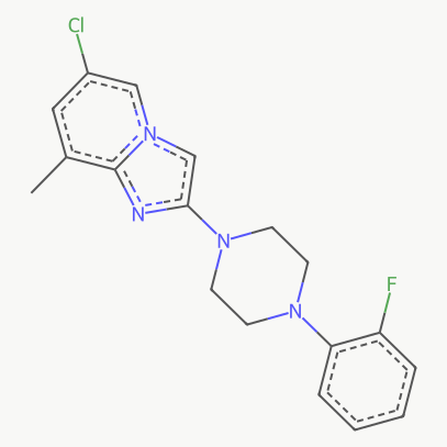 Cc1cc(Cl)cn2cc(N3CCN(c4ccccc4F)CC3)nc12